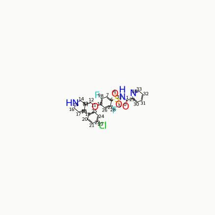 O=C(NS(=O)(=O)c1cc(F)c(OC[C@@H]2CNCC[C@H]2c2ccc(Cl)cc2)cc1F)c1ccccn1